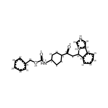 O=C(NC1CCC(C(=O)CC2c3ccccc3-c3cncn32)CC1)OCc1ccccc1